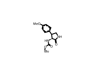 COc1ccc(C2CNC(=O)[C@H]2NC(=O)OC(C)(C)C)cc1